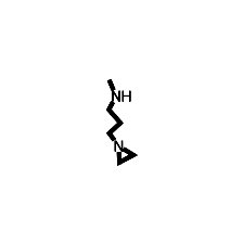 CNCCCN1CC1